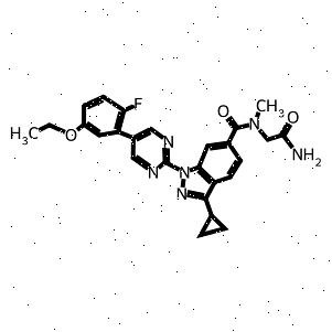 CCOc1ccc(F)c(-c2cnc(-n3nc(C4CC4)c4ccc(C(=O)N(C)CC(N)=O)cc43)nc2)c1